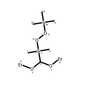 CCOC(OCC)[Si](C)(C)OO[Si](C)(C)C